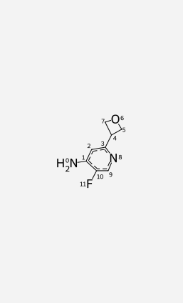 Nc1cc(C2COC2)ncc1F